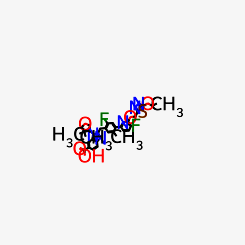 CCOc1nnc(COc2nc(-c3cc(F)c(Cc4nc5ccc(C(=O)O)cc5n4[C@@H]4COCC4(C)C)cc3C)ccc2F)s1